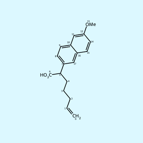 C=CCCCC(C(=O)O)c1ccc2cc(OC)ccc2c1